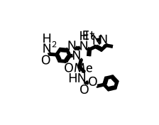 C=C(Nc1nc2cc(C(N)=O)cc(OC)c2n1CCCNC(=O)OCc1ccccc1)c1cc(C)nn1CC